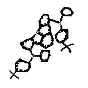 CC(C)(C)c1ccc(N(c2ccccc2)c2cccc3c2c2cccc4c5c(N(c6ccccc6)c6ccc(C(C)(C)C)cc6)cccc5n3c24)cc1